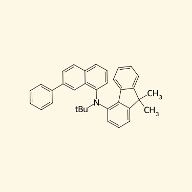 CC1(C)c2ccccc2-c2c(N(c3cccc4ccc(-c5ccccc5)cc34)C(C)(C)C)cccc21